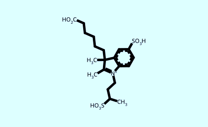 CC1=[N+](CCC(C)S(=O)(=O)O)c2ccc(S(=O)(=O)O)cc2C1(C)CCCCCC(=O)O